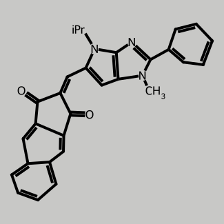 CC(C)n1c(C=C2C(=O)c3cc4ccccc4cc3C2=O)cc2c1nc(-c1ccccc1)n2C